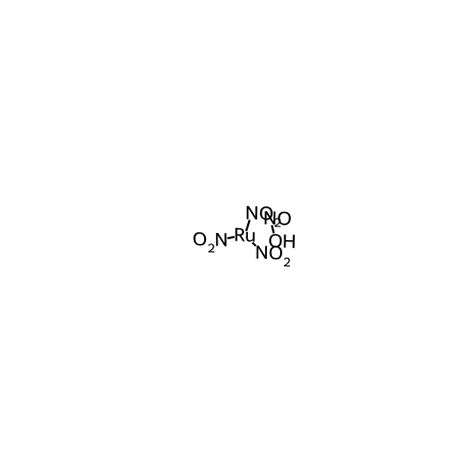 O=NO.O=[N+]([O-])[Ru]([N+](=O)[O-])[N+](=O)[O-]